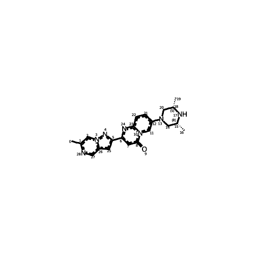 Cc1cn2nc(-c3cc(=O)n4cc(N5C[C@@H](C)N[C@@H](C)C5)ccc4n3)cc2cn1